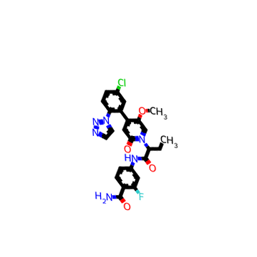 CCC(C(=O)Nc1ccc(C(N)=O)c(F)c1)n1cc(OC)c(-c2cc(Cl)ccc2-n2ccnn2)cc1=O